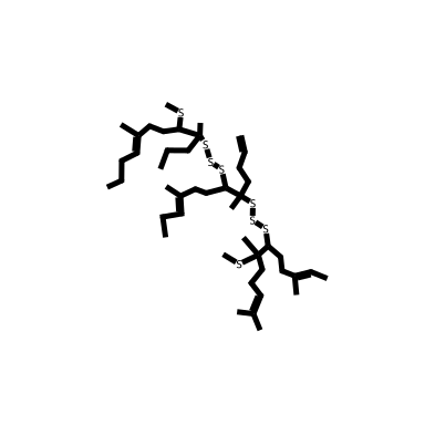 C=CCCC(C)(SSSC(CCC(C)=CC)C(C)(CCC=C(C)C)SC)C(CCC(C)=CCC)SSSC(C)(CCC)C(CCC(C)=CCCC)SC